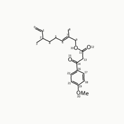 C=CC(C)CCC=C(C)COC(=O)CC(=O)c1ccc(OC)cc1